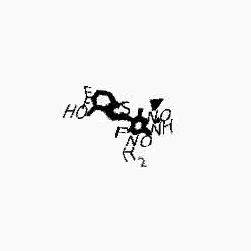 Cc1c(-c2cc3c(s2)CCC(F)(F)C3CO)c(F)c(N)c2c(=O)[nH]c(=O)n(C3CC3)c12